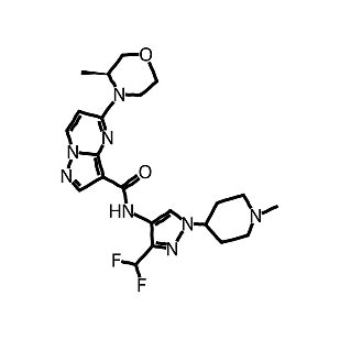 C[C@H]1COCCN1c1ccn2ncc(C(=O)Nc3cn(C4CCN(C)CC4)nc3C(F)F)c2n1